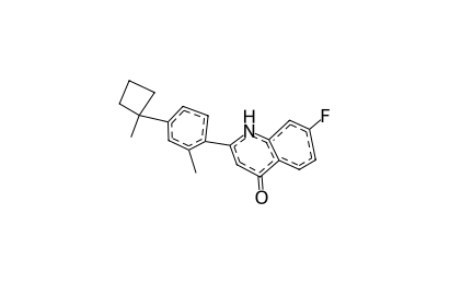 Cc1cc(C2(C)CCC2)ccc1-c1cc(=O)c2ccc(F)cc2[nH]1